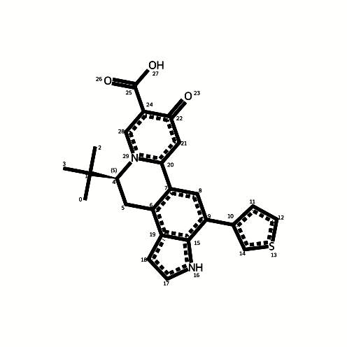 CC(C)(C)[C@@H]1Cc2c(cc(-c3ccsc3)c3[nH]ccc23)-c2cc(=O)c(C(=O)O)cn21